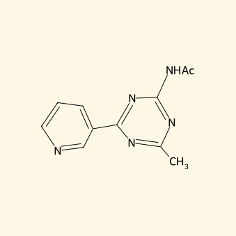 CC(=O)Nc1nc(C)nc(-c2cccnc2)n1